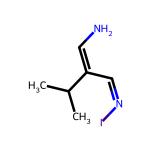 CC(C)C(/C=N\I)=C/N